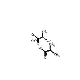 CC(C)C(=O)[O-].CC(C)C(=O)[O-].[Cd+2]